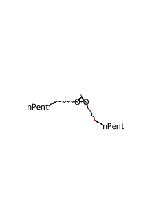 CCCCCC#CC#CCCCCCCCCCOc1cc(C)cc(OCCCCCCCCCC#CC#CCCCCC)c1